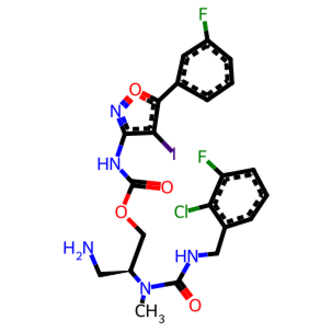 CN(C(=O)NCc1cccc(F)c1Cl)[C@@H](CN)COC(=O)Nc1noc(-c2cccc(F)c2)c1I